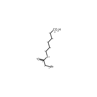 CC(C)CC(=O)SCCCCCC(=O)O